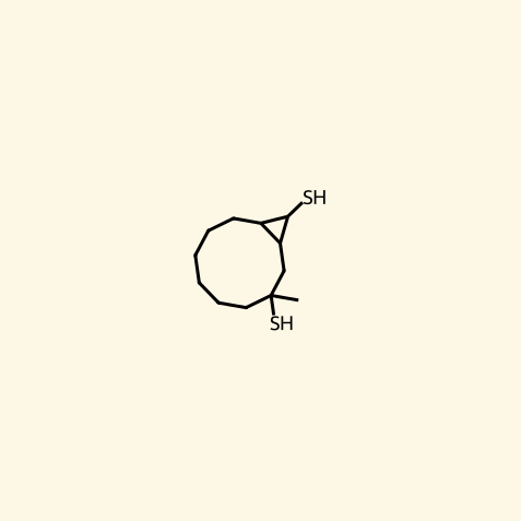 CC1(S)CCCCCCC2C(S)C2C1